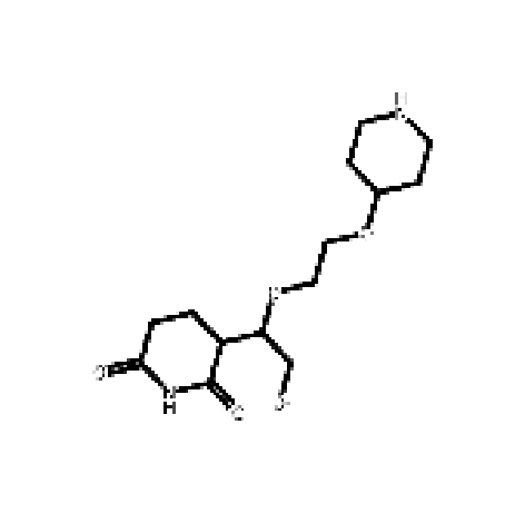 [O]CC(OCCOC1CCNCC1)C1CCC(=O)NC1=O